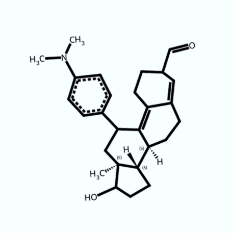 CN(C)c1ccc(C2C[C@]3(C)C(O)CC[C@H]3[C@@H]3CCC4=CC(C=O)CCC4=C23)cc1